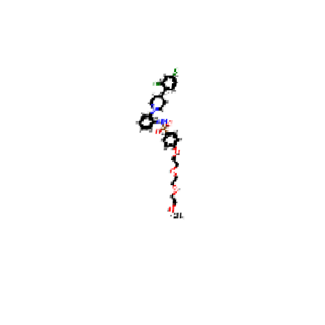 COCCOCCOCCOc1ccc(S(=O)(=O)Nc2ccccc2N2CCC(c3ccc(Cl)cc3F)CC2)cc1